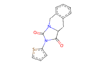 O=C1C2Cc3ccccc3CN2C(=O)N1c1cccs1